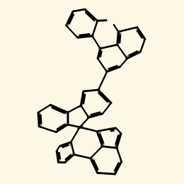 c1ccc2c(c1)Oc1cccc3cc(-c4ccc5c(c4)-c4ccccc4C54c5ccccc5-c5cccc6cccc4c56)cc-2c13